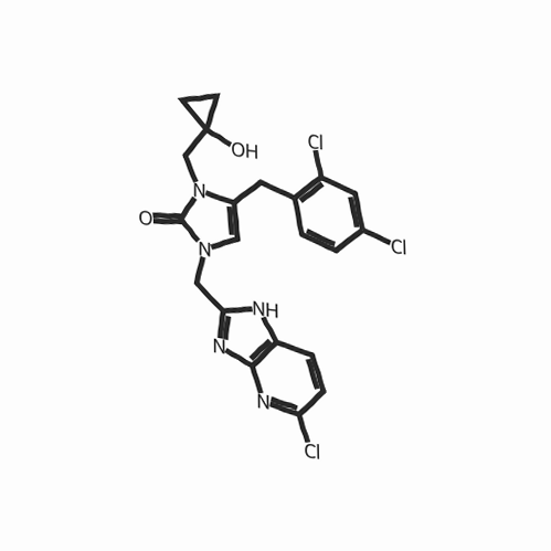 O=c1n(Cc2nc3nc(Cl)ccc3[nH]2)cc(Cc2ccc(Cl)cc2Cl)n1CC1(O)CC1